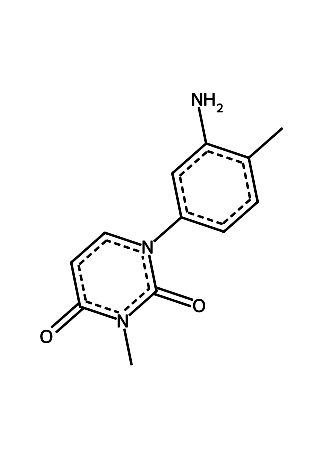 Cc1ccc(-n2ccc(=O)n(C)c2=O)cc1N